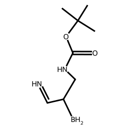 BC(C=N)CNC(=O)OC(C)(C)C